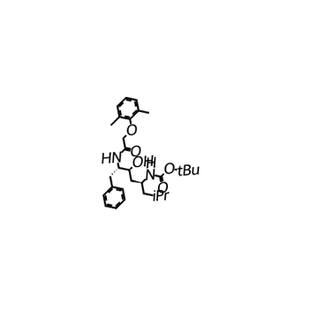 Cc1cccc(C)c1OCC(=O)N[C@@H](Cc1ccccc1)[C@@H](O)C[C@H](CC(C)C)NC(=O)OC(C)(C)C